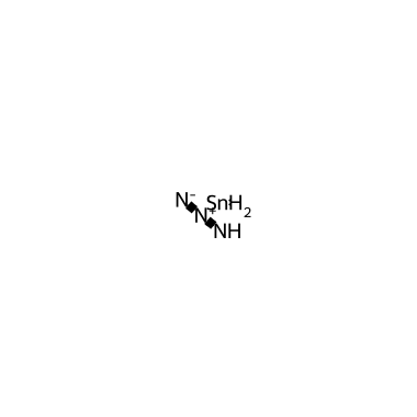 [N-]=[N+]=N.[SnH2]